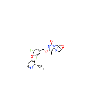 Cc1c(OCc2cc(F)c(Oc3ccnc(C(F)(F)F)c3)c(F)c2)nc(=O)n2c1N1CC3OCC31C2